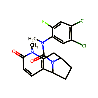 CN(C(=O)N1C2CCC1c1ccc(=O)n(C)c1C2)c1cc(Cl)c(Cl)cc1F